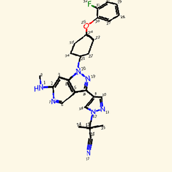 CNc1cc2c(cn1)c(-c1cnn(C(C)(C)C#N)c1)nn2C1CCC(Oc2ccccc2F)CC1